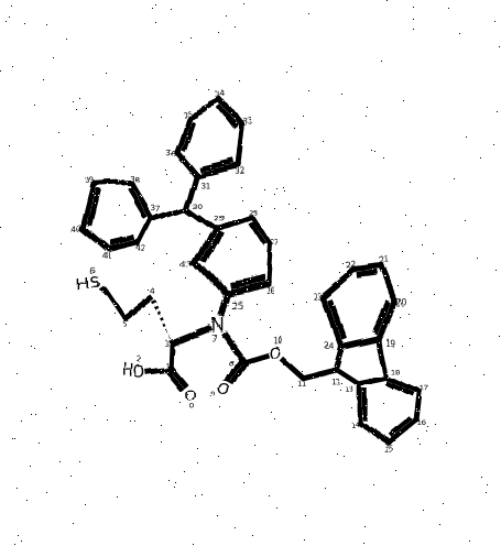 O=C(O)[C@H](CCS)N(C(=O)OCC1c2ccccc2-c2ccccc21)c1cccc(C(c2ccccc2)c2ccccc2)c1